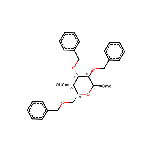 CO[C@H]1O[C@H](COCc2ccccc2)[C@@H](C=O)[C@H](OCc2ccccc2)[C@H]1OCc1ccccc1